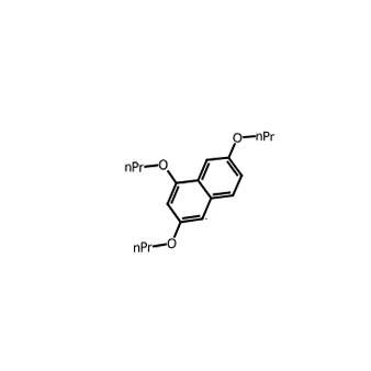 CCCOc1[c]c2ccc(OCCC)cc2c(OCCC)c1